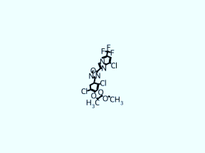 CCOC(=O)[C@@H](C)OC1=C(Cl)CC(c2noc(-c3cn4cc(C(F)(F)F)cc(Cl)c4n3)n2)C(Cl)=C1